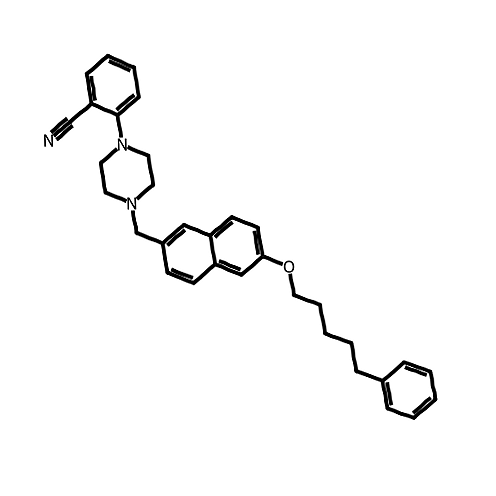 N#Cc1ccccc1N1CCN(Cc2ccc3cc(OCCCCCc4ccccc4)ccc3c2)CC1